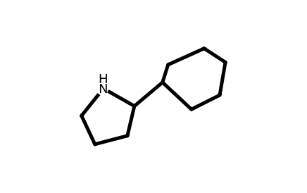 C1CCC(C2CCCN2)CC1